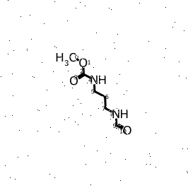 COC(=O)NCCCN[C]=O